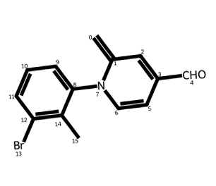 C=C1C=C(C=O)C=CN1c1cccc(Br)c1C